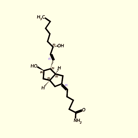 CCCCC[C@H](O)/C=C/[C@@H]1[C@H]2C/C(=C/CCCC(N)=O)C[C@H]2C[C@H]1O